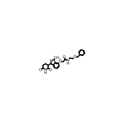 Cn1nc(C2CCC(=O)NC2=O)c2cccc(OCC(=O)NCCOCc3ccccc3)c21